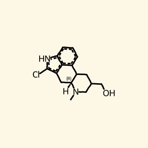 CN1CC(CO)CC2c3cccc4[nH]c(Cl)c(c34)C[C@H]21